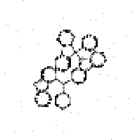 c1ccc(N(c2ccc3c4ccccc4n(C4(c5ccccc5)c5ccccc5-c5ccccc54)c3c2)c2cccc3oc4ccccc4c23)cc1